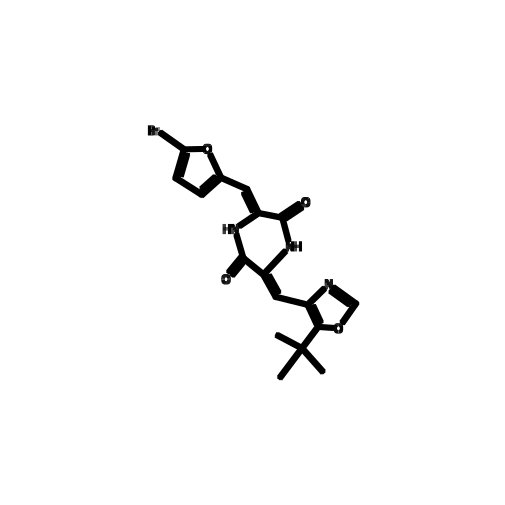 CC(C)(C)c1ocnc1/C=c1\[nH]c(=O)/c(=C/c2ccc(Br)o2)[nH]c1=O